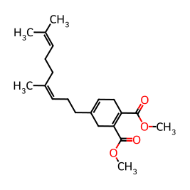 COC(=O)C1=C(C(=O)OC)CC(CCC=C(C)CCC=C(C)C)=CC1